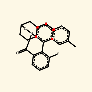 Cc1cnc(OC2CC3CCC2N(C(=O)c2cccc(F)c2-c2ncccn2)C3)nc1